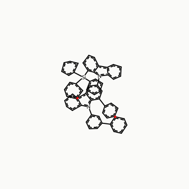 c1ccc(-c2cccc(-n3c4ccccc4c4cc(-n5c6ccccc6c6cccc([Si](c7ccccc7)(c7ccccc7)c7ccccc7)c65)cc(-c5ccccc5)c43)c2)cc1